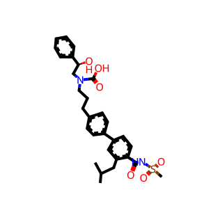 CC(C)Cc1cc(-c2ccc(CCCN(C[C@H](O)c3ccccc3)C(=O)O)cc2)ccc1C(=O)NS(C)(=O)=O